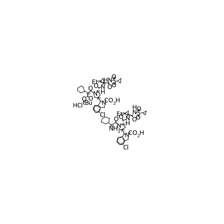 CC[C@@H]1C[C@]1(NC(=O)[C@@H]1C[C@@H](C2c3cccc(Cl)c3CN2C(=O)O)CN1C(=O)[C@@H](C(=O)OC(C)(C)C)C1CCCCC1)C(=O)NS(=O)(=O)C1CC1.CC[C@@H]1C[C@]1(NC(=O)[C@@H]1C[C@@H](C2c3cccc(Cl)c3CN2C(=O)O)CN1C(=O)[C@@H](N)C1CCCCC1)C(=O)NS(=O)(=O)C1CC1.Cl